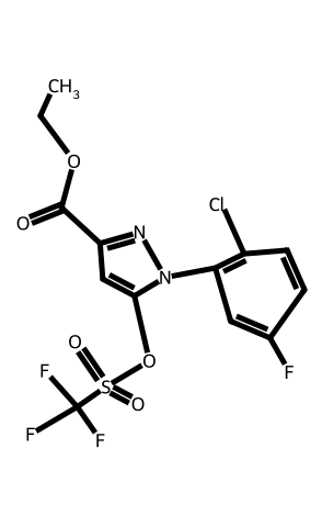 CCOC(=O)c1cc(OS(=O)(=O)C(F)(F)F)n(-c2cc(F)ccc2Cl)n1